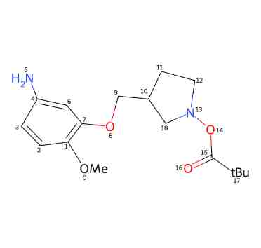 COc1ccc(N)cc1OCC1CCN(OC(=O)C(C)(C)C)C1